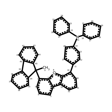 CC1(c2cccc3c2oc2c(-c4ccc(N(c5ccccc5)c5ccccc5)cc4)cccc23)c2ccccc2-c2ccccc21